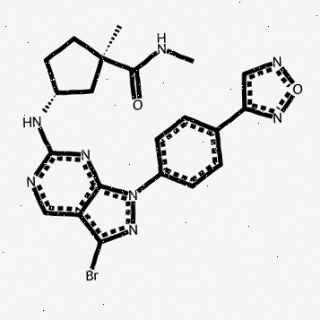 CNC(=O)[C@]1(C)CC[C@@H](Nc2ncc3c(Br)nn(-c4ccc(-c5cnon5)cc4)c3n2)C1